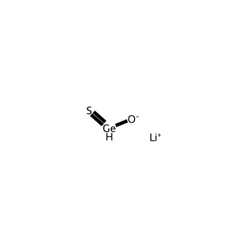 [Li+].[O-][GeH]=[S]